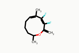 C=C1OC(C)CCC/C=C(C)\C(F)=C/1F